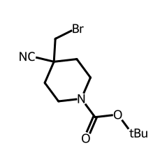 CC(C)(C)OC(=O)N1CCC(C#N)(CBr)CC1